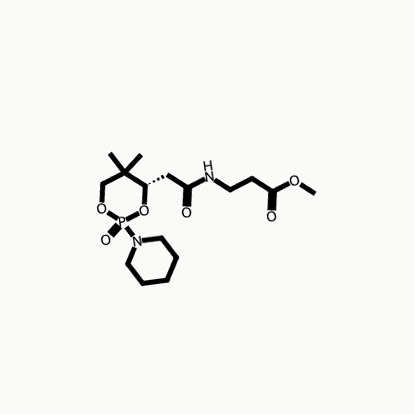 COC(=O)CCNC(=O)C[C@@H]1OP(=O)(N2CCCCC2)OCC1(C)C